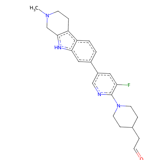 CN1CCc2c([nH]c3cc(-c4cnc(N5CCC(CC=O)CC5)c(F)c4)ccc23)C1